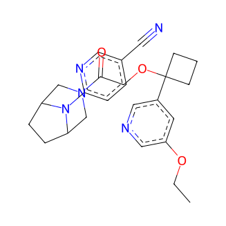 CCOc1cncc(C2(OCC(=O)N3CC4CCC(C3)N4c3ccc(C#N)cn3)CCC2)c1